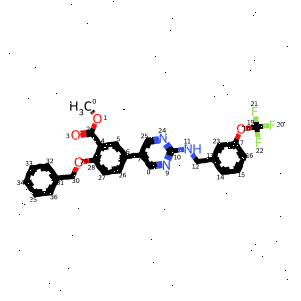 COC(=O)c1cc(-c2cnc(NCc3cccc(OC(F)(F)F)c3)nc2)ccc1OCc1ccccc1